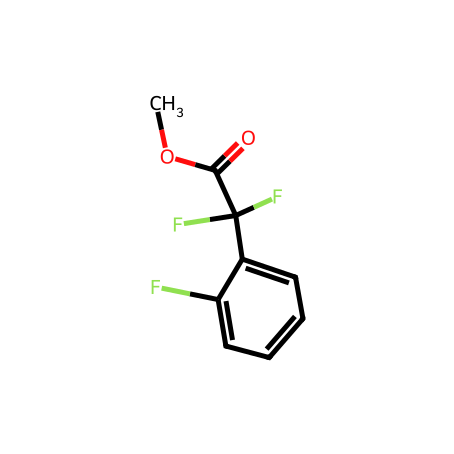 COC(=O)C(F)(F)c1ccccc1F